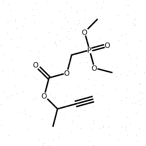 C#CC(C)OC(=O)OCP(=O)(OC)OC